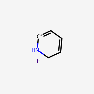 [C+]1=CC=CCN1.[I-]